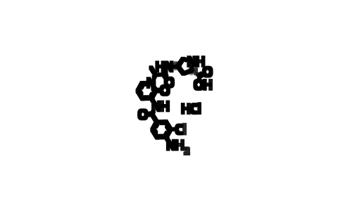 CC(C(=O)N[C@H]1CN[C@H](C(=O)O)C1)n1cccc(NC(=O)c2ccc(N)c(Cl)c2)c1=O.Cl